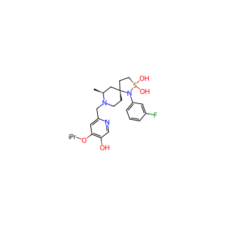 CC(C)Oc1cc(CN2CC[C@]3(CCS(O)(O)N3c3cccc(F)c3)C[C@@H]2C)ncc1O